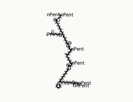 CCCCCC(CCCCC)CCOC(=O)CCCCCCCCC(CCCCCCC(=O)OCCC(CCCCC)CCCC(C)CCCCCC(CCCCC)CC(=O)OCCCCCCCCCC(CCCCCCCOC(=O)CC(CCCCC)CCCCC)CN1CCCCC1)OCCCCN(C)C(C)C